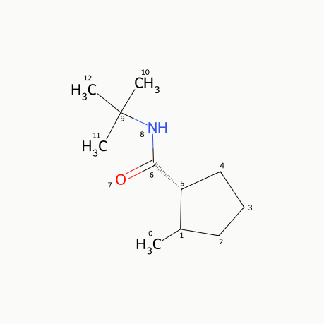 CC1CCC[C@H]1C(=O)NC(C)(C)C